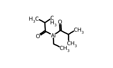 C[CH2][Al]([C](=O)C(C)C)[C](=O)C(C)C